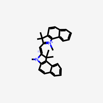 CN1/C(=C/C2=[N+](C)c3c(ccc4ccccc34)C2(C)C)C(C)(C)c2c1ccc1ccccc21